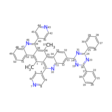 Cc1c2c(-c3ccncc3)nc3cc(-c4nc(-c5ccccc5)nc(-c5ccccc5)n4)ccc3c2c(C)c2c(-c3ccncc3)nc3ccccc3c12